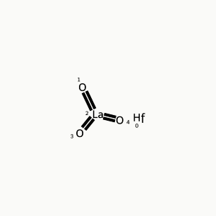 [Hf].[O]=[La](=[O])=[O]